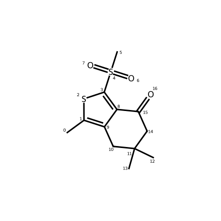 Cc1sc(S(C)(=O)=O)c2c1CC(C)(C)CC2=O